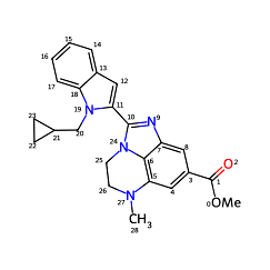 COC(=O)c1cc2c3c(c1)nc(-c1cc4ccccc4n1CC1CC1)n3CCN2C